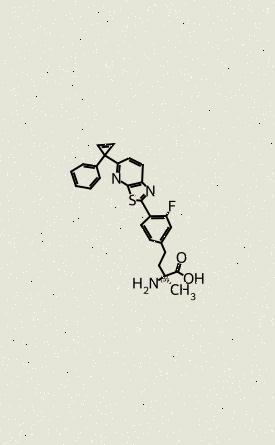 C[C@](N)(CCc1ccc(-c2nc3ccc(C4(c5ccccc5)C=C4)nc3s2)c(F)c1)C(=O)O